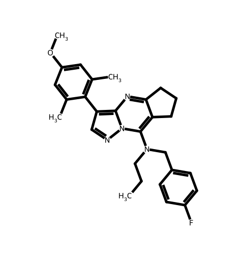 CCCN(Cc1ccc(F)cc1)c1c2c(nc3c(-c4c(C)cc(OC)cc4C)cnn13)CCC2